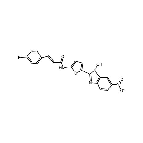 O=C(/C=C/c1ccc(F)cc1)Nc1ccc(-c2nc3ccc([N+](=O)[O-])cc3n2O)o1